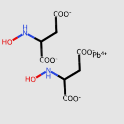 O=C([O-])CC(NO)C(=O)[O-].O=C([O-])CC(NO)C(=O)[O-].[Pb+4]